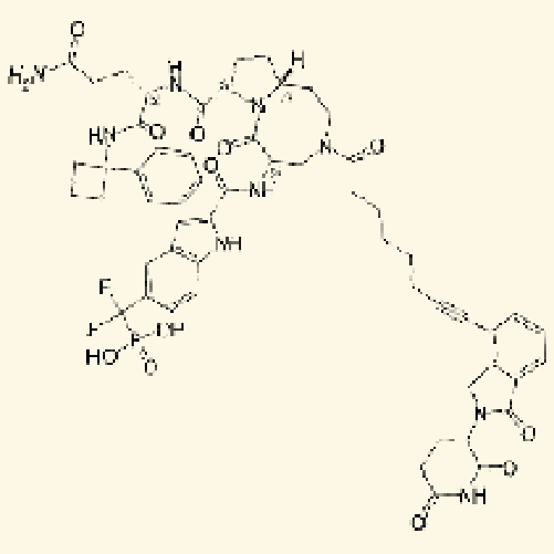 NC(=O)CC[C@H](NC(=O)[C@@H]1CC[C@@H]2CCN(C(=O)CCCCCC#Cc3cccc4c3CN(C3CCC(=O)NC3=O)C4=O)C[C@H](NC(=O)c3cc4cc(C(F)(F)P(=O)(O)O)ccc4[nH]3)C(=O)N21)C(=O)NC1(c2ccccc2)CCC1